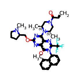 C=CC(=O)N1C[C@H](C)N(c2nc(OCC3CCCN3C)nc3c(=O)n(-c4cccc5cccc(C)c45)c(C(F)(F)F)nc23)[C@@H](C)C1